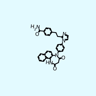 NC(=O)c1ccc(CCc2nccn2-c2ccc(N3C(=O)CC(=O)Nc4c3ccc3ccccc43)cc2)cc1